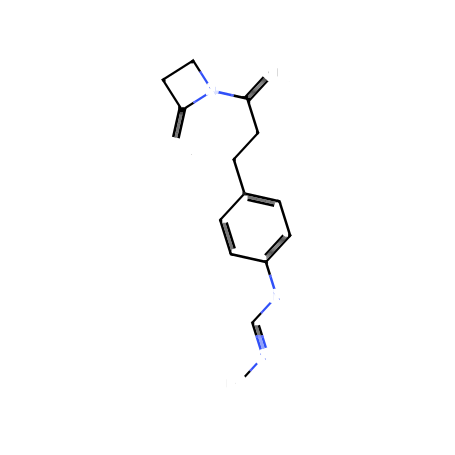 C=C(CCc1ccc(N/C=N/C)cc1)N1CCC1=C